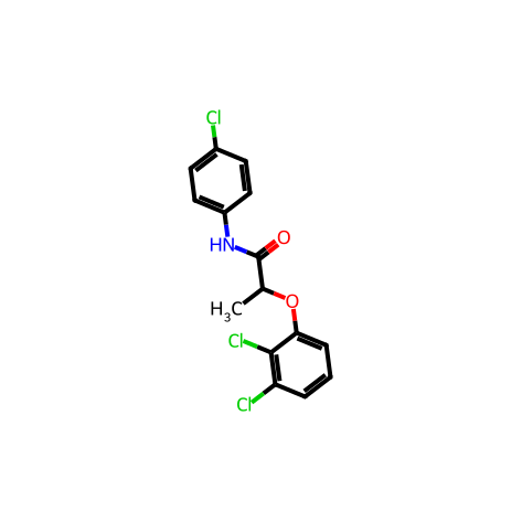 CC(Oc1cccc(Cl)c1Cl)C(=O)Nc1ccc(Cl)cc1